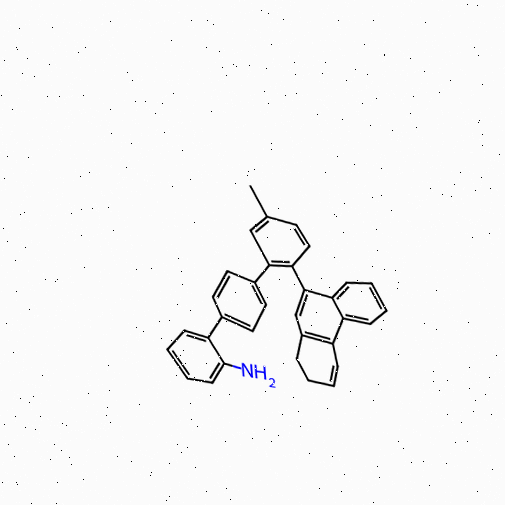 Cc1ccc(-c2cc3c(c4ccccc24)C=CCC3)c(-c2ccc(-c3ccccc3N)cc2)c1